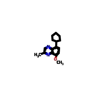 COc1ccc(C2CCCCC2)c2ncc(C)nc12